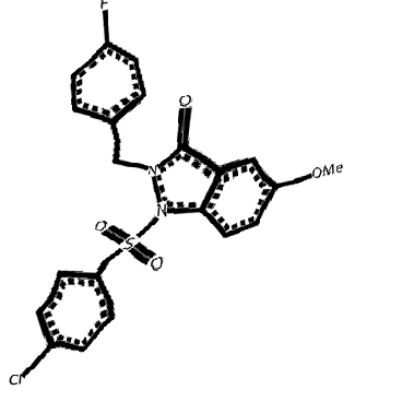 COc1ccc2c(c1)c(=O)n(Cc1ccc(F)cc1)n2S(=O)(=O)c1ccc(Cl)cc1